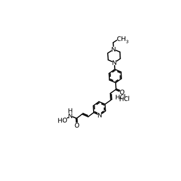 CCN1CCN(c2ccc(C(=O)C=Cc3ccc(C=CC(=O)NO)nc3)cc2)CC1.Cl.Cl